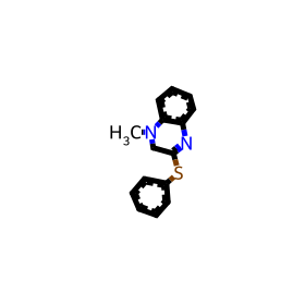 CN1CC(Sc2ccccc2)=Nc2ccccc21